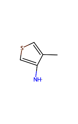 Cc1cscc1[NH]